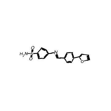 NS(=O)(=O)c1ccc(N=Cc2ccc(-c3ccco3)cc2)cc1